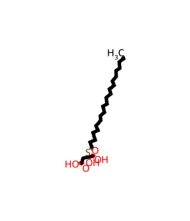 CCCCCCCCCCCCCCCCCCCCCCSC(O)(CC(=O)O)C(=O)O